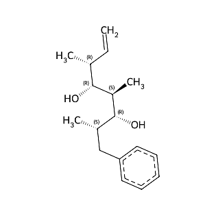 C=C[C@@H](C)[C@@H](O)[C@@H](C)[C@H](O)[C@@H](C)Cc1ccccc1